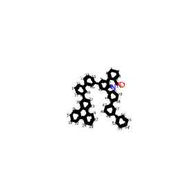 O=c1c2ccccc2c2cc(-c3cccc(-c4cccc(-c5ccc6c7ccccc7c7ccccc7c6c5)c4)c3)cc3c4cc(-c5cccc(-c6ccccc6)c5)ccc4n1c23